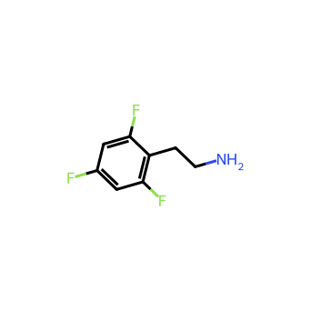 NCCc1c(F)cc(F)cc1F